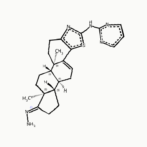 C[C@]12CCc3nc(Nc4ncccn4)sc3C1=CC[C@@H]1[C@@H]2CC[C@]2(C)/C(=N/N)CC[C@@H]12